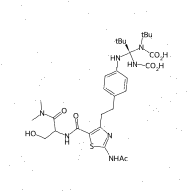 CC(=O)Nc1nc(CCc2ccc(N[C@@](NC(=O)O)(N(C(=O)O)C(C)(C)C)C(C)(C)C)cc2)c(C(=O)NC(CO)C(=O)N(C)C)s1